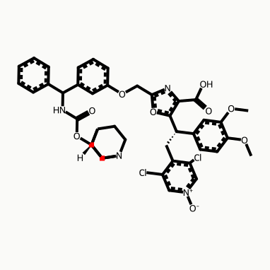 COc1ccc([C@H](Cc2c(Cl)c[n+]([O-])cc2Cl)c2oc(COc3cccc(C(NC(=O)O[C@H]4CN5CCC4CC5)c4ccccc4)c3)nc2C(=O)O)cc1OC